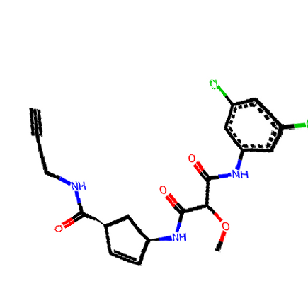 C#CCNC(=O)[C@@H]1C=C[C@H](NC(=O)C(OC)C(=O)Nc2cc(Cl)cc(Cl)c2)C1